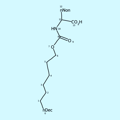 CCCCCCCCCCCCCCCCOC(=O)NC(CCCCCCCCC)C(=O)O